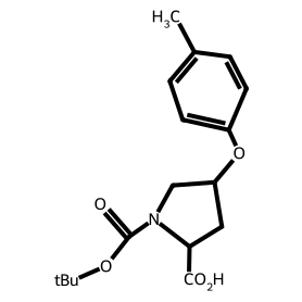 Cc1ccc(OC2CC(C(=O)O)N(C(=O)OC(C)(C)C)C2)cc1